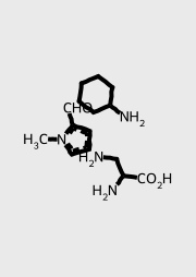 Cn1cccc1C=O.NC1CCCCC1.NCC(N)C(=O)O